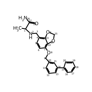 CC(NCc1ccc(OCc2cccc(-c3ccccc3)c2)c2c1OCO2)C(N)=O